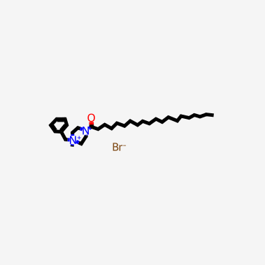 CCCCCCCCCCCCCCCCCCCC(=O)N1CC[N+](C)(Cc2ccccc2)CC1.[Br-]